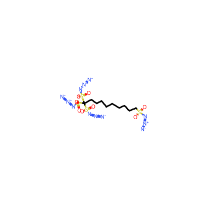 [N-]=[N+]=NS(=O)(=O)CCCCCCCCCC(S(=O)(=O)N=[N+]=[N-])(S(=O)(=O)N=[N+]=[N-])S(=O)(=O)N=[N+]=[N-]